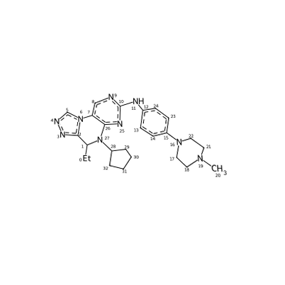 CCC1c2nncn2-c2cnc(Nc3ccc(N4CCN(C)CC4)cc3)nc2N1C1CCCC1